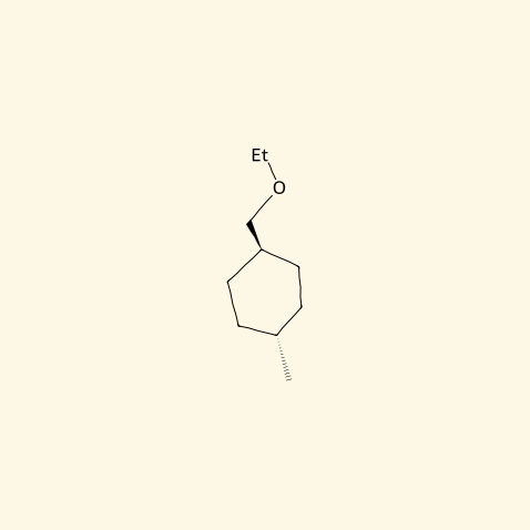 CCOC[C@H]1CC[C@H](C)CC1